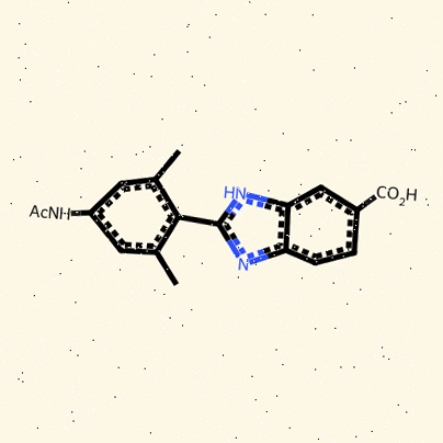 CC(=O)Nc1cc(C)c(-c2nc3ccc(C(=O)O)cc3[nH]2)c(C)c1